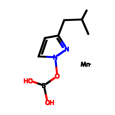 CC(C)Cc1ccn(OB(O)O)n1.[Mn]